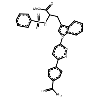 COC(=O)C(Cc1cn(-c2ccc(-c3ccc(C(=N)N)cc3)nn2)c2ccccc12)NS(=O)(=O)c1ccccc1